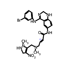 CN(C/C=C/C(=O)Nc1ccc2c(c1)C(Nc1cccc(Br)c1)=NCN2)CC1=C([N+](=O)[O-])CNN1C